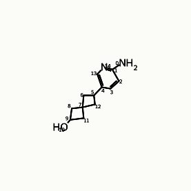 Nc1ccc(C2CC3(CC(O)C3)C2)cn1